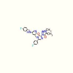 CN[C@@H](C)C(=O)Nc1ncc(-c2ccc(F)cc2)n(Cc2cncc(NCc3ccc(F)cc3)c2)c1=O